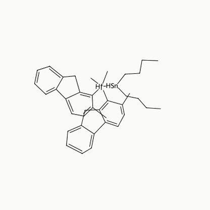 CCC[CH2][SnH]([CH2]CCC)[Hf]([CH3])([CH3])([c]1c(C)ccc2c1Cc1ccccc1-2)[c]1c(C)ccc2c1Cc1ccccc1-2